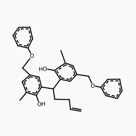 C=CCCC(c1cc(COc2ccccc2)cc(C)c1O)c1cc(COc2ccccc2)cc(C)c1O